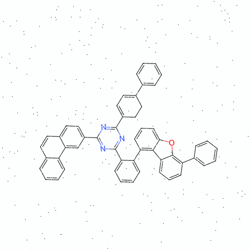 C1=C(c2ccccc2)CCC(c2nc(-c3ccc4ccc5ccccc5c4c3)nc(-c3ccccc3-c3cccc4oc5c(-c6ccccc6)cccc5c34)n2)=C1